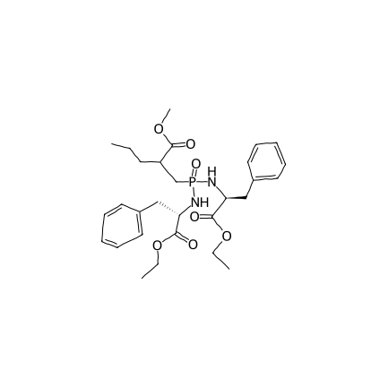 CCCC(CP(=O)(N[C@@H](Cc1ccccc1)C(=O)OCC)N[C@@H](Cc1ccccc1)C(=O)OCC)C(=O)OC